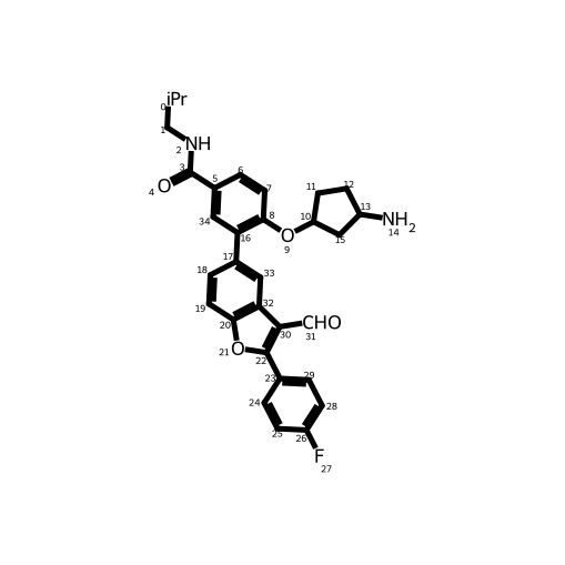 CC(C)CNC(=O)c1ccc(OC2CCC(N)C2)c(-c2ccc3oc(-c4ccc(F)cc4)c(C=O)c3c2)c1